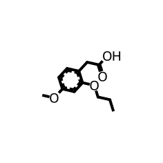 CCCOc1cc(OC)ccc1CC(=O)O